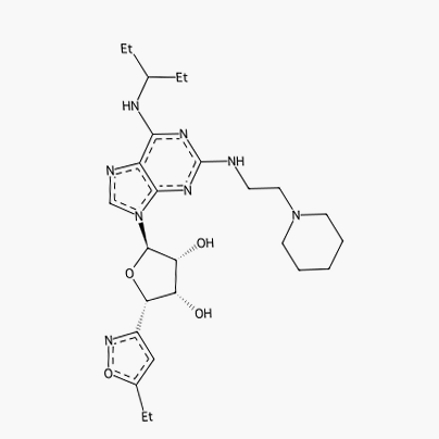 CCc1cc([C@@H]2O[C@@H](n3cnc4c(NC(CC)CC)nc(NCCN5CCCCC5)nc43)[C@H](O)[C@@H]2O)no1